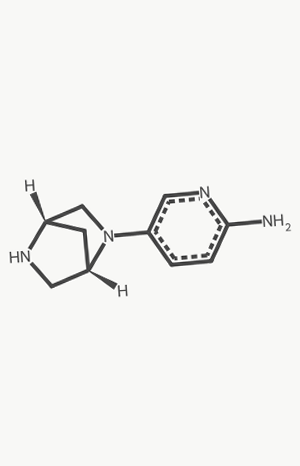 Nc1ccc(N2C[C@@H]3C[C@H]2CN3)cn1